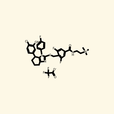 COc1cc(C2CCCc3nc(SCc4c(F)cc(C(=O)NCC[N+](C)(C)C)cc4F)n(-c4ccc(F)cc4)c32)ccc1Cl.O=C([O-])C(F)(F)F